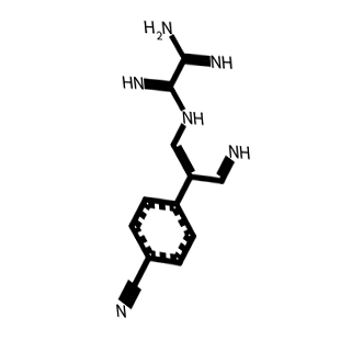 N#Cc1ccc(/C(C=N)=C/NC(=N)C(=N)N)cc1